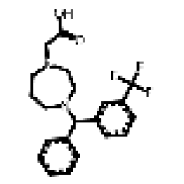 O=C(O)CN1CCCN(C(c2ccccc2)c2cccc(C(F)(F)F)c2)CC1